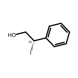 OC[C@@H](I)c1ccccc1